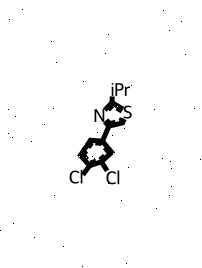 CC(C)c1nc(-c2ccc(Cl)c(Cl)c2)cs1